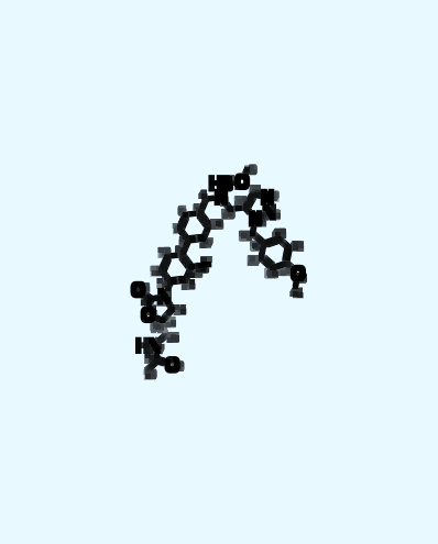 COBN(Cc1ccc(-c2ccc(N3C[C@H](CNC(C)=O)OC3=O)cc2F)cc1)Cc1cnnn1Cc1ccc(OC)cc1